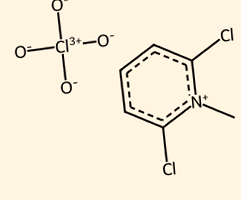 C[n+]1c(Cl)cccc1Cl.[O-][Cl+3]([O-])([O-])[O-]